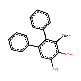 CCCc1[c]c(-c2ccccc2)c(-c2ccccc2)c(OC)c1O